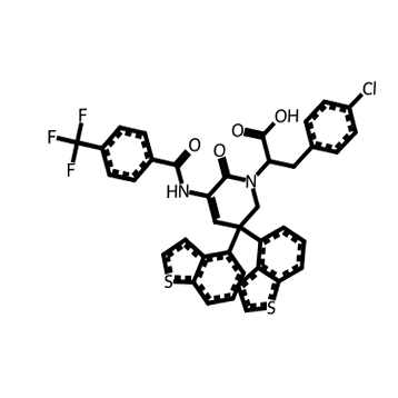 O=C(NC1=CC(c2cccc3sccc23)(c2cccc3sccc23)CN(C(Cc2ccc(Cl)cc2)C(=O)O)C1=O)c1ccc(C(F)(F)F)cc1